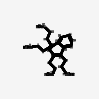 CCCCCCCCCCCCc1c(CCCCCCCCCCCC)c(CCCCCCCCCCCC)c2ccccc2c1CCCCCCCCCCCC